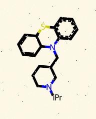 CC(C)N1CCCC(CN2c3ccccc3SC3C=CC=CC32)C1